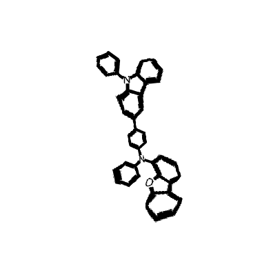 c1ccc(N(c2ccc(-c3ccc4c(c3)c3ccccc3n4-c3ccccc3)cc2)c2cccc3c2oc2ccccc23)cc1